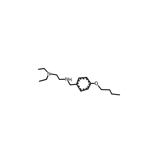 CCCCOc1ccc(CNCCN(CC)CC)cc1